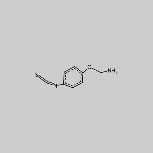 NCOc1ccc(N=C=S)cc1